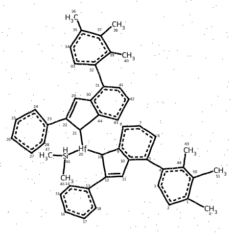 Cc1ccc(-c2cccc3c2C=C(c2ccccc2)[CH]3[Hf]([CH]2C(c3ccccc3)=Cc3c(-c4ccc(C)c(C)c4C)cccc32)[SiH](C)C)c(C)c1C